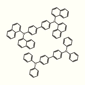 c1ccc(N(c2ccccc2)c2ccc(-c3ccc(N(c4ccccc4)c4ccccc4)cc3)cc2)cc1.c1ccc2c(N(c3ccc(-c4ccc(N(c5cccc6ccccc56)c5cccc6ccccc56)cc4)cc3)c3cccc4ccccc34)cccc2c1